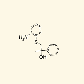 CC(O)(CSc1ccccc1N)c1ccccc1